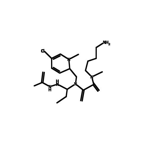 C=C(C)NNC(CC)N(CC1C=CC(Cl)=CN1C)C(=C)C(=C)N(C)CCCCN